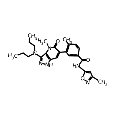 CCCN(CCC)c1n[nH]c2cc(-c3cc(C(=O)Nc4cc(C)no4)ccc3C)c(=O)n(C)c12